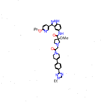 CCn1cnc(-c2ccc(C3=CCN(C(=O)CN4CCC(OC)(C(=O)Nc5ccc6[nH]nc(-c7ccc(OC(C)C)nc7)c6c5)C4)CC3)cc2)n1